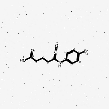 O=C=C(CCCC(=O)O)Nc1ccc(Br)cc1